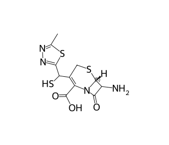 Cc1nnc(C(S)C2=C(C(=O)O)N3C(=O)C(N)[C@H]3SC2)s1